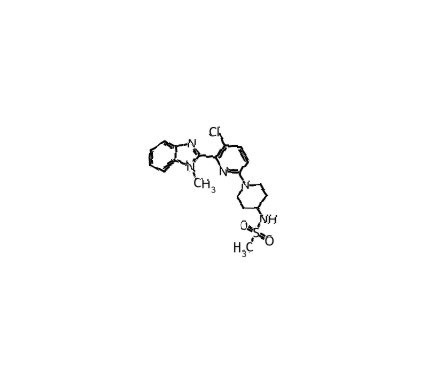 Cn1c(-c2nc(N3CCC(NS(C)(=O)=O)CC3)ccc2Cl)nc2ccccc21